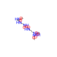 C[C@@H](CCNCCCCNC(=O)OCC(=O)NCCCCCCNC(=NC(=O)OC(C)(C)C)NC(=O)OC(C)(C)C)NC(=O)OC(C)(C)C